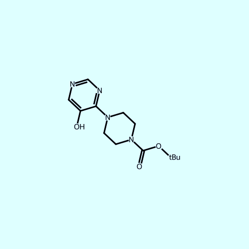 CC(C)(C)OC(=O)N1CCN(c2ncncc2O)CC1